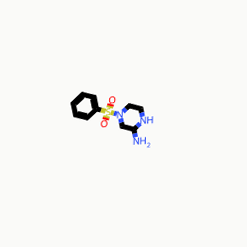 NC1CN(S(=O)(=O)c2ccccc2)CCN1